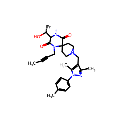 CC#CCN1C(=O)C(C(O)C(C)C)NC(=O)C12CCN(Cc1c(C)nn(-c3ccc(C)cc3)c1C)CC2